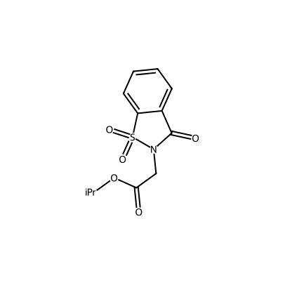 CC(C)OC(=O)CN1C(=O)c2ccccc2S1(=O)=O